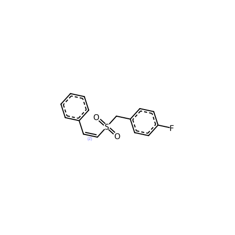 O=S(=O)(/C=C\c1ccccc1)Cc1ccc(F)cc1